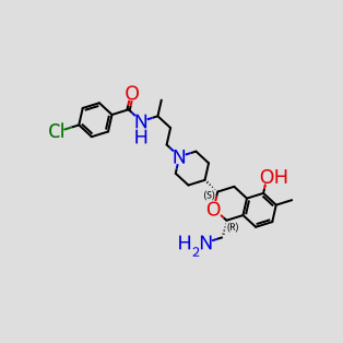 Cc1ccc2c(c1O)C[C@@H](C1CCN(CCC(C)NC(=O)c3ccc(Cl)cc3)CC1)O[C@H]2CN